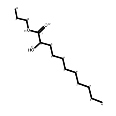 CCCCCCCCCC(O)C(=O)OCCC